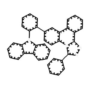 c1ccc(-c2nnc3c4ccccc4c4cc(-c5ccccc5-n5c6ccccc6c6ccccc65)ccc4n23)cc1